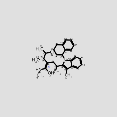 CN/C(O)=C(/CC(C)c1c(C)c2ccccc2n1C1CCCc2ccccc21)[C@H](C)C(C)C